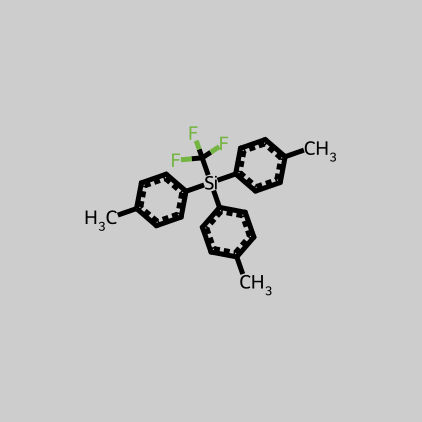 Cc1ccc([Si](c2ccc(C)cc2)(c2ccc(C)cc2)C(F)(F)F)cc1